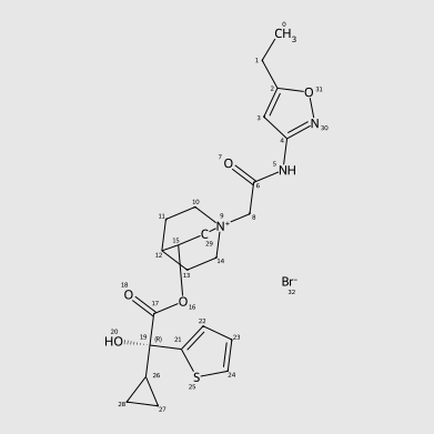 CCc1cc(NC(=O)C[N+]23CCC(CC2)C(OC(=O)[C@@](O)(c2cccs2)C2CC2)C3)no1.[Br-]